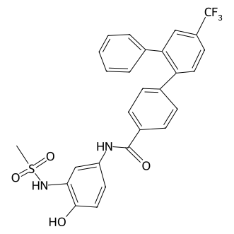 CS(=O)(=O)Nc1cc(NC(=O)c2ccc(-c3ccc(C(F)(F)F)cc3-c3ccccc3)cc2)ccc1O